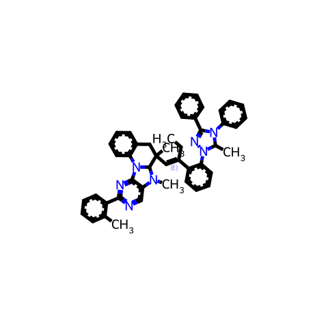 CC/C(=C\C1(C)Cc2ccccc2N2c3nc(-c4ccccc4C)ncc3N(C)C21)c1ccccc1N1N=C(c2ccccc2)N(c2ccccc2)C1C